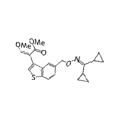 COC=C(C(=O)OC)c1csc2ccc(CON=C(C3CC3)C3CC3)cc12